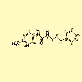 Cc1ccc(NC(=O)NCCCc2ccccc2)cn1